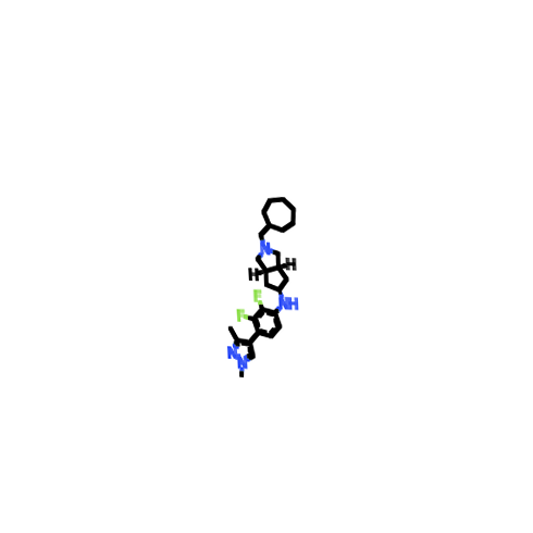 Cc1nn(C)cc1-c1ccc(N[C@H]2C[C@@H]3CN(CC4CCCCCC4)C[C@@H]3C2)c(F)c1F